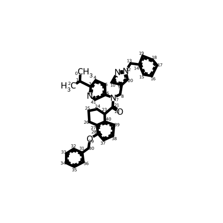 CC(C)c1ccc(N(Cc2cnn(Cc3ccccc3)c2)C(=O)C2CCCc3c(OCc4ccccc4)cccc32)cn1